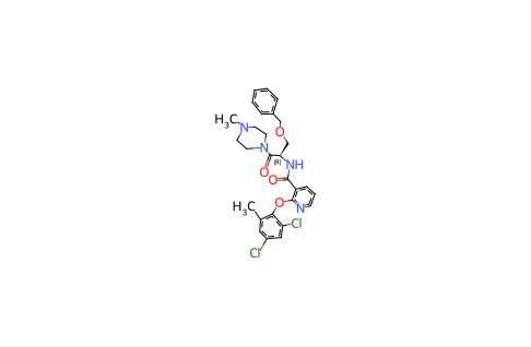 Cc1cc(Cl)cc(Cl)c1Oc1ncccc1C(=O)N[C@H](COCc1ccccc1)C(=O)N1CCN(C)CC1